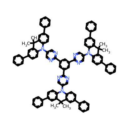 CC1(C)c2cc(-c3ccccc3)ccc2N(c2cnc(-c3cc(-c4ncc(N5c6ccc(-c7ccccc7)cc6C(C)(C)c6cc(-c7ccccc7)ccc65)cn4)cc(-c4ncc(N5c6ccc(-c7ccccc7)cc6C(C)(C)c6cc(-c7ccccc7)ccc65)cn4)c3)nc2)c2ccc(-c3ccccc3)cc21